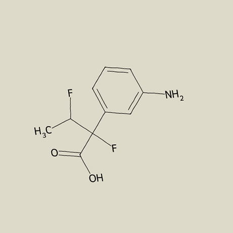 CC(F)C(F)(C(=O)O)c1cccc(N)c1